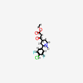 CCOC(=O)CC(=O)C1CCN(C)C(c2cc(F)c(Cl)c(F)c2)C1